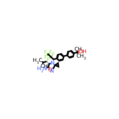 CC(C)C[C@@H](C(N)=O)N([C@@H](c1ccc(-c2ccc(C(C)(C)O)cc2)cc1)C(F)(F)C(F)(F)F)C1(C#N)CC1